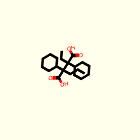 CCCC(C(=O)O)(C1CCCCC1)C(CC)(C(=O)O)C1CCCCC1